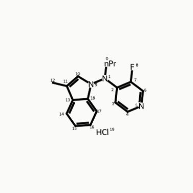 CCCN(c1ccncc1F)n1cc(C)c2ccccc21.Cl